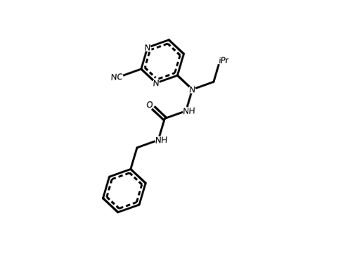 CC(C)CN(NC(=O)NCc1ccccc1)c1ccnc(C#N)n1